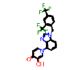 O=c1ccn(-c2cccc3c2ncn3Cc2ccc(C(F)(F)F)cc2C(F)(F)F)cc1O